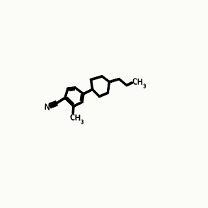 CCCC1CCC(c2ccc(C#N)c(C)c2)CC1